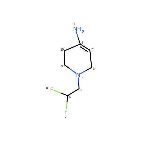 NC1=CCN(CC(F)F)CC1